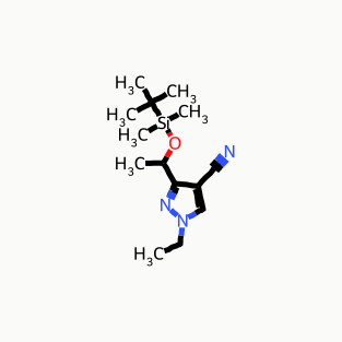 CCn1cc(C#N)c(C(C)O[Si](C)(C)C(C)(C)C)n1